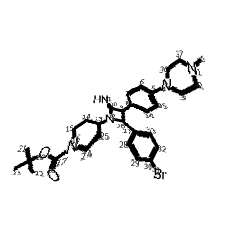 CN1CCN(c2ccc(C3C(=N)N(C4CCN(C(=O)OC(C)(C)C)CC4)C3c3ccc(Br)cc3)cc2)CC1